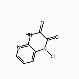 O=c1[nH]c2ncccc2n(Cl)c1=O